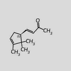 CC(=O)C=C[C@@H]1CC=C(C)C1(C)C